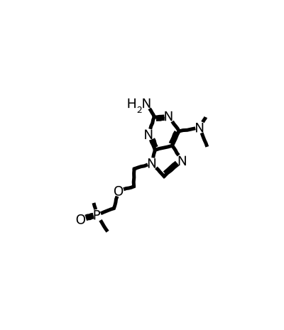 CN(C)c1nc(N)nc2c1ncn2CCOCP(C)(C)=O